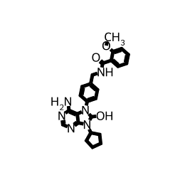 COc1ccccc1C(=O)NCc1ccc(N2c3c(N)ncnc3N(C3CCCC3)C2O)cc1